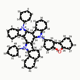 c1ccc(-n2c3ccccc3c3c2c2c4ccccc4n(-c4ccc5oc6ccccc6c5c4)c2c2c4ccc5ccccc5c4n(-c4ccccc4)c23)cc1